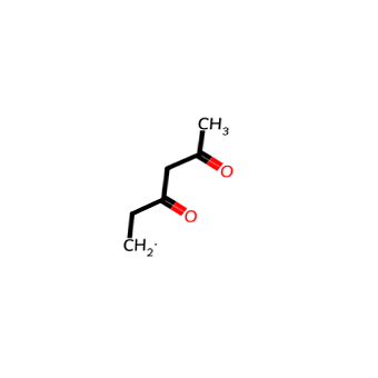 [CH2]CC(=O)CC(C)=O